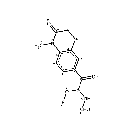 CCOC(NC=O)C(=O)c1ccc2c(c1)CCC(=O)N2C